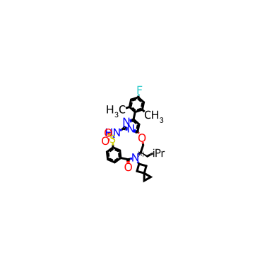 Cc1cc(F)cc(C)c1-c1cc2nc(n1)NS(=O)(=O)c1cccc(c1)C(=O)N(C1CC3(CC3)C1)[C@H](CC(C)C)CO2